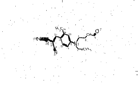 CCN(CCOC=O)c1ccc(C=C(C#N)C#N)c(C)c1